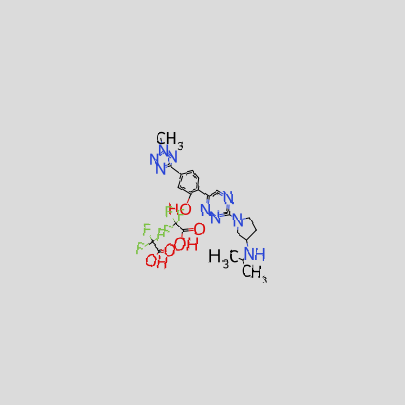 CC(C)NC1CCN(c2ncc(-c3ccc(-c4nnn(C)n4)cc3O)nn2)C1.O=C(O)C(F)(F)F.O=C(O)C(F)(F)F